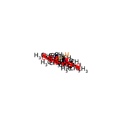 COC(=O)CCc1cc(C(C)(C)C)c(OCC(Oc2ccc(C(C)(C)c3ccc(OC(COc4c(C(C)(C)C)cc(CCC(=O)OC)cc4C(C)(C)C)C4CN(C(C)(C)C)PO4)cc3)cc2)C2CN(C(C)(C)C)PO2)c(C(C)(C)C)c1